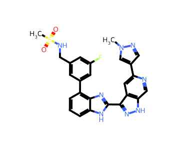 Cn1cc(-c2cc3c(-c4nc5c(-c6cc(F)cc(CNS(C)(=O)=O)c6)cccc5[nH]4)n[nH]c3cn2)cn1